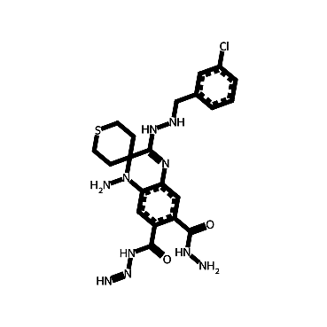 N=NNC(=O)c1cc2c(cc1C(=O)NN)N=C(NNCc1cccc(Cl)c1)C1(CCSCC1)N2N